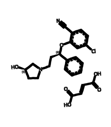 N#Cc1ccc(Cl)cc1O[C@H](CCN1CC[C@@H](O)C1)c1ccccc1.O=C(O)C=CC(=O)O